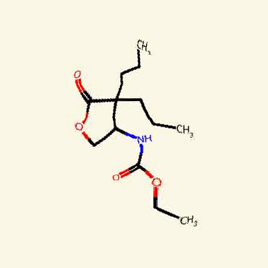 CCCC1(CCC)C(=O)OCC1NC(=O)OCC